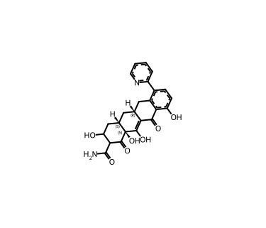 NC(=O)C1C(=O)[C@@]2(O)C(O)=C3C(=O)c4c(O)ccc(-c5ccccn5)c4C[C@H]3C[C@H]2CC1O